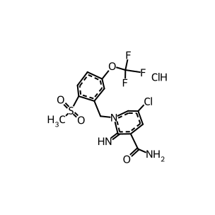 CS(=O)(=O)c1ccc(OC(F)(F)F)cc1Cn1cc(Cl)cc(C(N)=O)c1=N.Cl